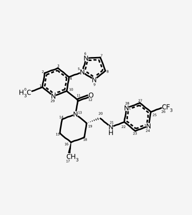 Cc1ccc(-n2nccn2)c(C(=O)N2CC[C@H](C)C[C@H]2CNc2cnc(C(F)(F)F)cn2)n1